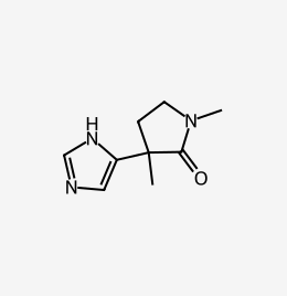 CN1CCC(C)(c2cnc[nH]2)C1=O